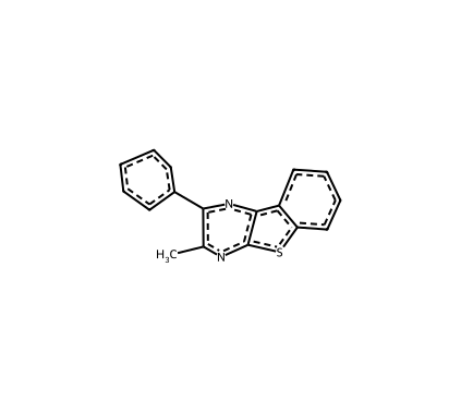 Cc1nc2sc3ccccc3c2nc1-c1ccccc1